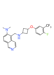 CN(C)c1ccc2cnccc2c1CNC1CC(Oc2ccc(F)c(C(F)(F)F)c2)C1